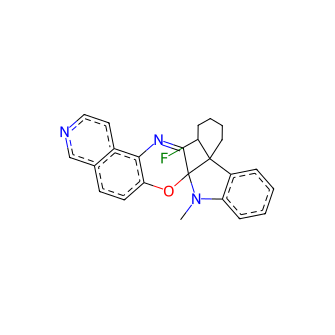 CN1c2ccccc2C2(CCCCC2F)C12C=Nc1c(ccc3cnccc13)O2